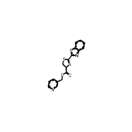 O=C(OCc1cccnc1)C1CSC(c2nc3ccccc3s2)=N1